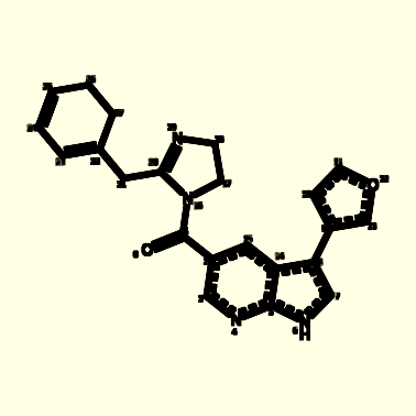 O=C(c1cnc2[nH]cc(-c3ccoc3)c2c1)N1CCN=C1CC1=CC=CCC1